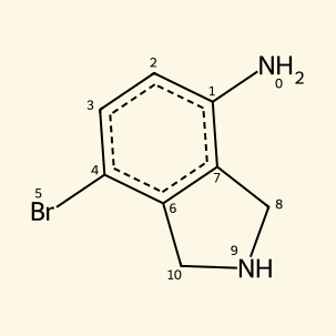 Nc1ccc(Br)c2c1CNC2